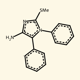 CSc1nc(N)c(-c2[c]cccc2)n1-c1ccccc1